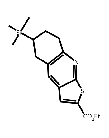 CCOC(=O)c1cc2cc3c(nc2s1)CCC([Si](C)(C)C)C3